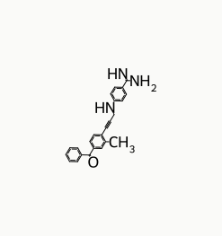 Cc1cc(C(=O)c2ccccc2)ccc1C#CCNc1ccc(C(=N)N)cc1